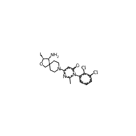 Cc1nc(N2CCC3(CC2)CO[C@@H](I)[C@H]3N)cc(=O)n1-c1cccc(Cl)c1Cl